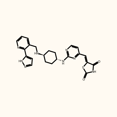 O=C1NC(=O)C(=Cc2ccnc(N[C@H]3CC[C@H](NCc4cccnc4-c4ccn[nH]4)CC3)n2)S1